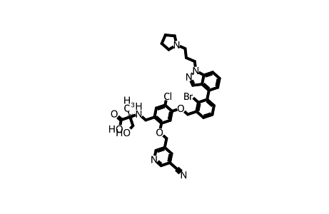 C[C@@](CO)(NCc1cc(Cl)c(OCc2cccc(-c3cccc4c3cnn4CCCN3CCCC3)c2Br)cc1OCc1cncc(C#N)c1)C(=O)O